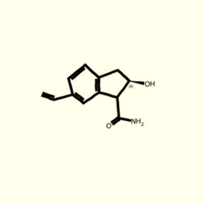 C=Cc1ccc2c(c1)C(C(N)=O)[C@H](O)C2